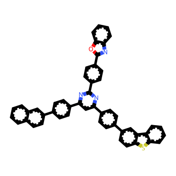 c1ccc2cc(-c3ccc(-c4cc(-c5ccc(-c6ccc7sc8ccccc8c7c6)cc5)nc(-c5ccc(-c6nc7ccccc7o6)cc5)n4)cc3)ccc2c1